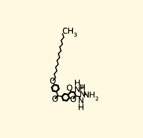 CCCCCCCCCCCCCCCOc1ccc(C(=O)c2ccc3oc(C(=N)NN)c(N)c(=O)c3c2)cc1